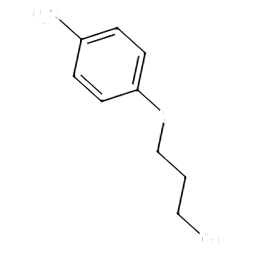 CCCCSc1ccc(N)cc1